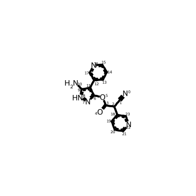 N#CC(C(=O)Oc1n[nH]c(N)c1-c1cccnc1)c1cccnc1